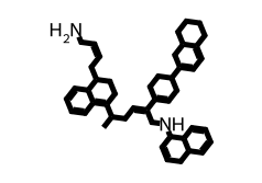 CC(C/C=C(\CNC1C=CCC2C=CC=CC21)C1=CCC(C2=CC=C3CCCCC3C2)CC1)C1=C2C=CC=CC2C(C/C=C\CN)CC1